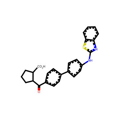 O=C(O)C1CCCC1C(=O)c1ccc(-c2ccc(Nc3nc4ccccc4s3)cc2)cc1